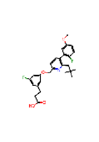 COc1ccc(F)c(-c2ccc(COc3cc(F)cc(CCC(=O)O)c3)nc2CC(C)(C)C)c1